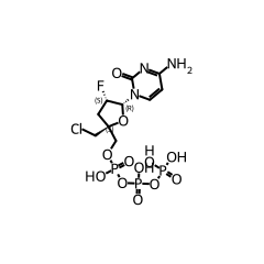 Nc1ccn([C@@H]2O[C@](CCl)(COP(=O)(O)OP(=O)(O)OP(=O)(O)O)C[C@@H]2F)c(=O)n1